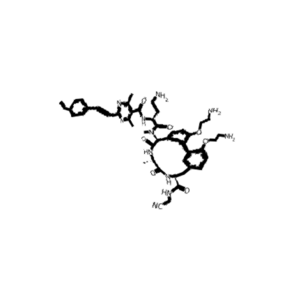 C=Cc1ccc(C#Cc2nc(C)c(C(=O)N[C@@H](CCN)C(=O)N(C)[C@@H]3C(=O)N[C@@H](C)C(=O)N[C@H](C(=O)NCC#N)Cc4ccc(OCCN)c(c4)-c4cc3ccc4OCCN)c(C)n2)cc1